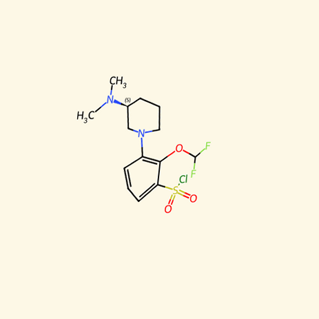 CN(C)[C@H]1CCCN(c2cccc(S(=O)(=O)Cl)c2OC(F)F)C1